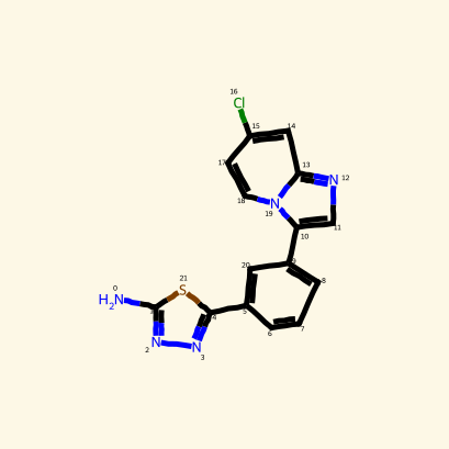 Nc1nnc(-c2cccc(-c3cnc4cc(Cl)ccn34)c2)s1